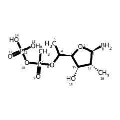 B[C@@H]1O[C@H](C(C)OP(C)(=O)OP(=O)(O)O)[C@@H](O)[C@H]1C